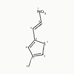 Cc1csc(C=C[N+](=O)[O-])c1